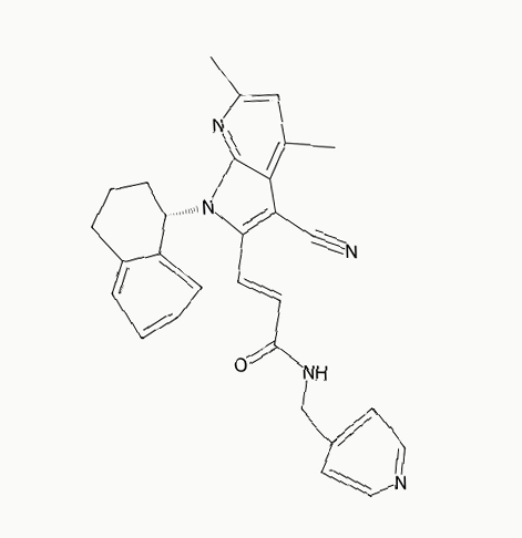 Cc1cc(C)c2c(C#N)c(C=CC(=O)NCc3ccncc3)n([C@H]3CCCc4ccccc43)c2n1